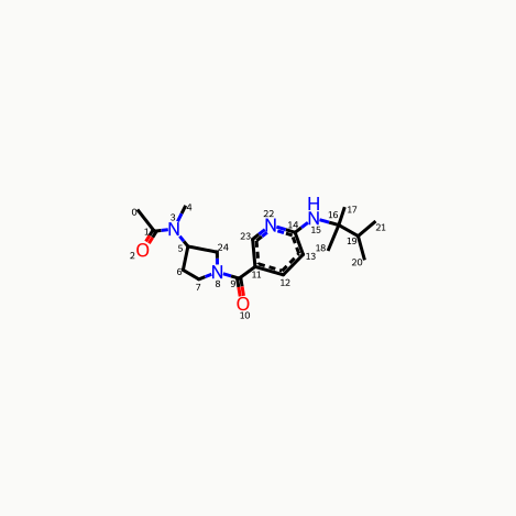 CC(=O)N(C)C1CCN(C(=O)c2ccc(NC(C)(C)C(C)C)nc2)C1